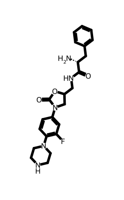 N[C@H](Cc1ccccc1)C(=O)NCC1CN(c2ccc(N3CCNCC3)c(F)c2)C(=O)O1